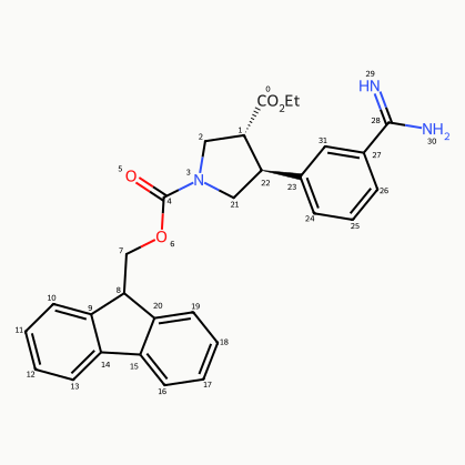 CCOC(=O)[C@H]1CN(C(=O)OCC2c3ccccc3-c3ccccc32)C[C@@H]1c1cccc(C(=N)N)c1